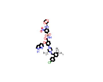 C[C@H]1CN(c2ccc(C(=O)NS(=O)(=O)c3ccc(NC[C@@H]4COCCO4)c([N+](=O)[O-])c3)c(Oc3cnc4[nH]ccc4c3)c2)CCN1CC1=C(c2ccc(Cl)cc2)CCC(C)(C)C1